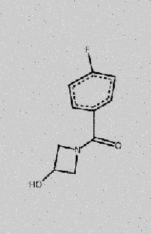 O=C(c1ccc(F)cc1)N1CC(O)C1